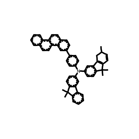 CC1C=CC2=C(C1)c1cc(N(c3ccc(-c4ccc5ccc6c7ccccc7ccc6c5c4)cc3)c3ccc4c(c3)-c3ccccc3C4(C)C)ccc1C2(C)C